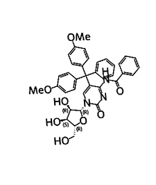 COc1ccc(C(c2ccccc2)(c2ccc(OC)cc2)c2cn([C@@H]3O[C@H](CO)[C@@H](O)[C@H]3O)c(=O)nc2NC(=O)c2ccccc2)cc1